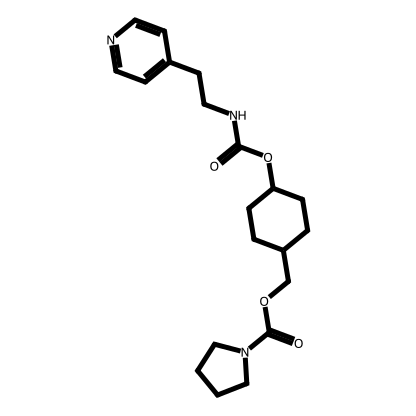 O=C(NCCc1ccncc1)OC1CCC(COC(=O)N2CCCC2)CC1